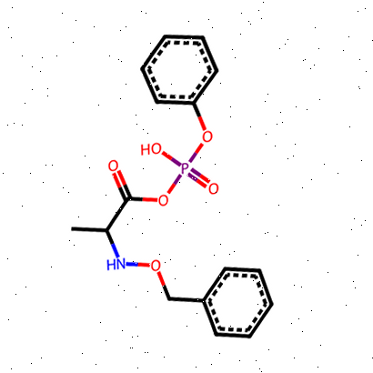 CC(NOCc1ccccc1)C(=O)OP(=O)(O)Oc1ccccc1